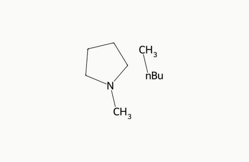 CCCCC.CN1CCCC1